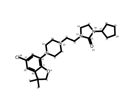 CC1(C)COc2c(N3CCN(CCN4CCN(C5CCCC5)C4=O)CC3)cc(Cl)cc21